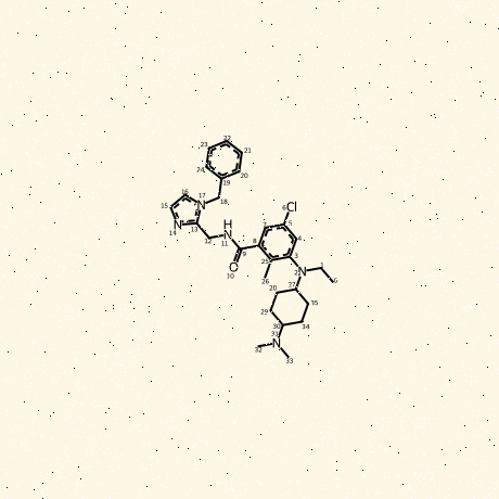 CCN(c1cc(Cl)cc(C(=O)NCc2nccn2Cc2ccccc2)c1C)C1CCC(N(C)C)CC1